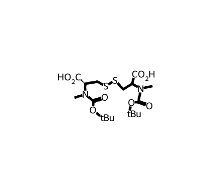 CN(C(=O)OC(C)(C)C)C(CSSC[C@@H](C(=O)O)N(C)C(=O)OC(C)(C)C)C(=O)O